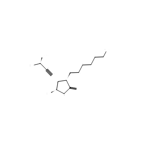 CCCCC[C@H](O)C#C[C@H]1[C@H](O)CC(=O)[C@@H]1CCCCCCC(=O)O